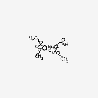 C=CCOC(=O)c1cc(NC(=O)[C@@H]2C[C@@H](CC(=O)S)CN2C(=O)OCC=C)ccc1OCC=C